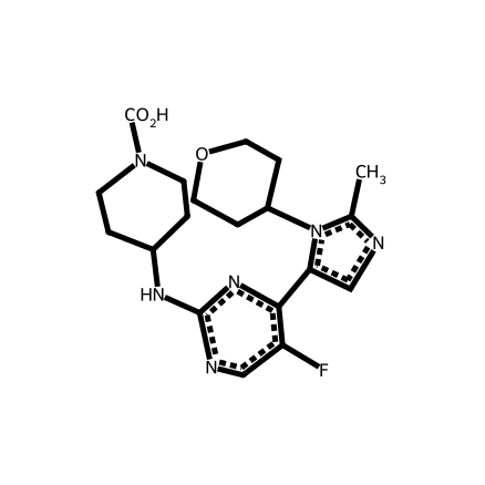 Cc1ncc(-c2nc(NC3CCN(C(=O)O)CC3)ncc2F)n1C1CCOCC1